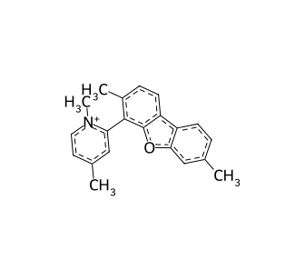 Cc1cc[n+](C)c(-c2c(C)ccc3c2oc2cc(C)ccc23)c1